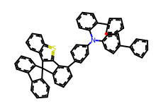 c1ccc(-c2ccc(N(c3ccc(-c4cccc5c4-c4sc6ccccc6c4C54c5ccccc5-c5ccccc54)cc3)c3ccccc3-c3ccccc3)cc2)cc1